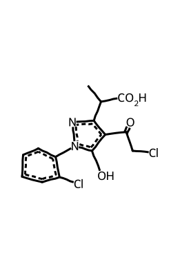 CC(C(=O)O)c1nn(-c2ccccc2Cl)c(O)c1C(=O)CCl